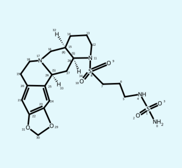 NS(=O)(=O)NCCCS(=O)(=O)N1CCC[C@@H]2CN3CCc4cc5c(cc4[C@@H]3C[C@@H]21)OCO5